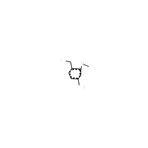 CNc1cc(O)ccc1CO